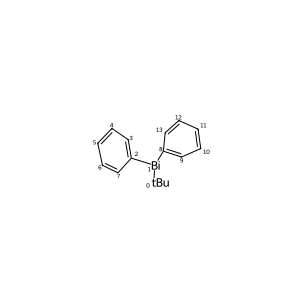 C[C](C)(C)[Bi]([c]1ccccc1)[c]1ccccc1